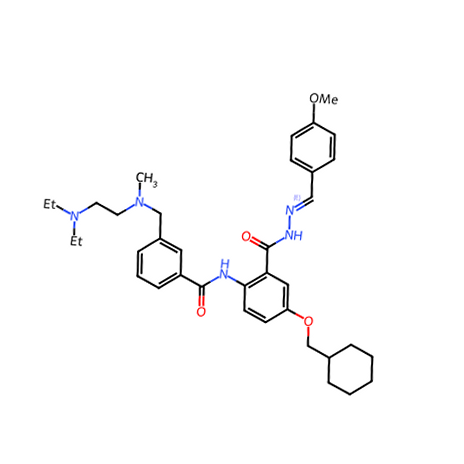 CCN(CC)CCN(C)Cc1cccc(C(=O)Nc2ccc(OCC3CCCCC3)cc2C(=O)N/N=C/c2ccc(OC)cc2)c1